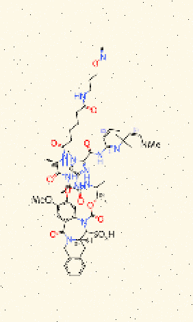 C=NOCCCNC(=O)CCCCC(=O)N[C@H](C)C(=O)N[C@H](C)C(=O)NC(C)[C@H](C)OC(=O)N1c2cc(ONc3cn(C)c(C(=O)NC(/C=C\C)=N/C(C)(C)/C=C\NC)n3)c(OC)cc2C(=O)N2Cc3ccccc3C[C@H]2C1S(=O)(=O)O